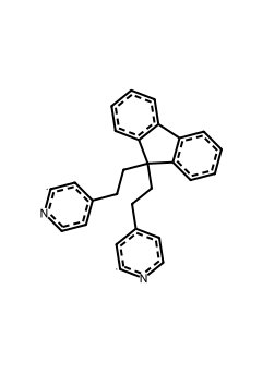 [c]1cc(CCC2(CCc3c[c]ncc3)c3ccccc3-c3ccccc32)ccn1